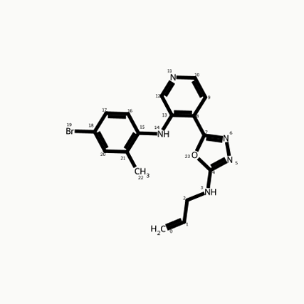 C=CCNc1nnc(-c2ccncc2Nc2ccc(Br)cc2C)o1